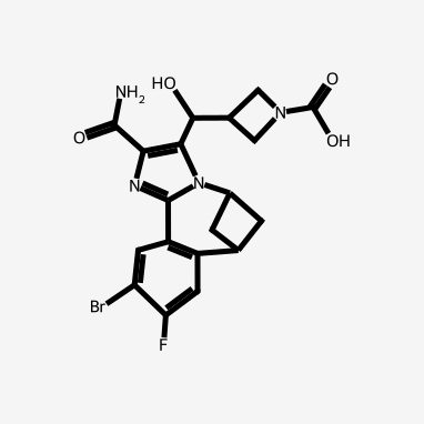 NC(=O)c1nc2n(c1C(O)C1CN(C(=O)O)C1)C1CC(C1)c1cc(F)c(Br)cc1-2